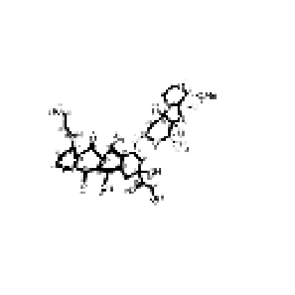 CO[C@H]1OCCN2[C@@H]1O[C@@H]1[C@H](C)O[C@@H](O[C@H]3C[C@](O)(C(=O)CO)Cc4c(O)c5c(c(O)c43)C(=O)c3c(NCCO)cccc3C5=O)C[C@@H]12